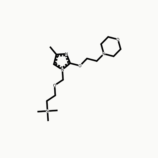 Cc1cn(COCC[Si](C)(C)C)c(OCCN2CCOCC2)n1